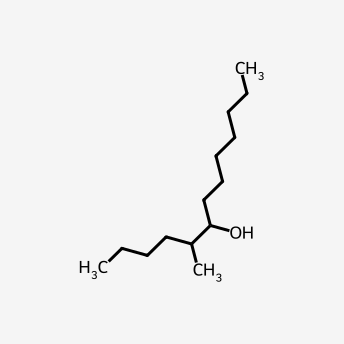 CCCCCCCC(O)C(C)CCCC